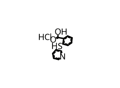 Cl.O=C(O)c1ccccc1S.c1ccncc1